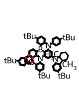 CC(C)(C)c1ccc(N2c3ccc(C(C)(C)C)cc3B3c4ccc5c(oc6ccc(C(C)(C)C)cc65)c4N(c4ccc(C(C)(C)C)cc4-c4ccccc4)c4cc(N5c6ccc(C(C)(C)C)cc6C6(C)CCCCC56C)cc2c43)cc1